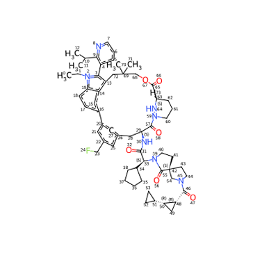 CCn1c(-c2cccnc2C(C)C)c2c3cc(ccc31)-c1cc(CF)cc(c1)C[C@H](NC(=O)[C@H](C1CCCC1)N1CC[C@]3(CCN(C(=O)[C@@H]4C[C@@H]4C4CC4)C3)C1=O)C(=O)N1CCC[C@H](N1)C(=O)OCC(C)(C)C2